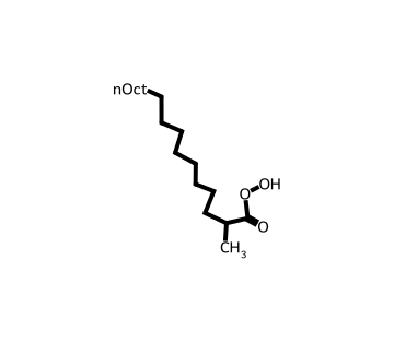 CCCCCCCCCCCCCCCCC(C)C(=O)OO